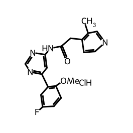 COc1ccc(F)cc1-c1cc(NC(=O)Cc2ccncc2C)ncn1.Cl